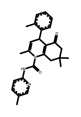 CC1=[C]C(c2ccccc2C)C2=C(CC(C)(C)CC2=O)N1C(=O)Nc1ccc(C)cn1